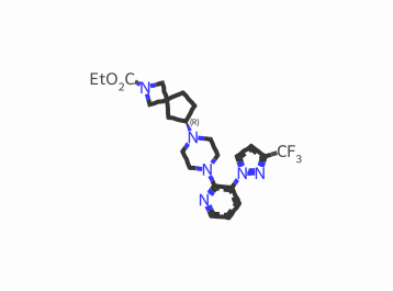 CCOC(=O)N1CC2(CC[C@@H](N3CCN(c4ncccc4-n4ccc(C(F)(F)F)n4)CC3)C2)C1